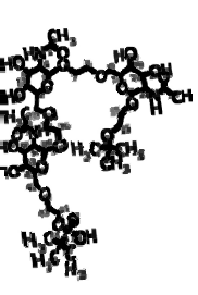 CC(=O)NC1C(OCCOCC2OC(OCCOC(C)(C)C)C(NC(C)=O)C(O)C2O)OC(COCCOC2OC(COCCOP(=O)(O)C(C)(C)C)C(O)C(O)C2NC(C)=O)C(O)C1O